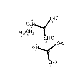 O.O=CC(C=O)[N+](=O)[O-].O=CC(C=O)[N+](=O)[O-].[Na+]